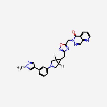 Cn1cc(-c2cccc(N3C[C@@H]4C(Cc5noc(Cn6ncc7ncccc7c6=O)n5)[C@@H]4C3)c2)cn1